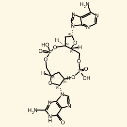 Nc1nc2c(ncn2[C@@H]2O[C@@H]3COP(=O)(O)O[C@H]4C[C@H](n5cnc6c(N)ncnc65)O[C@@H]4COP(=O)(O)O[C@@H]2C3)c(=O)[nH]1